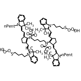 CCCCCN1/C(=C/C=C2\CCC(/C=C/C3=[N+](CCCCSOOO)c4ccccc4C3(C)C)=C2N(CCCCN(C2=C(/C=C/C3=[N+](CCCCSOOO)c4ccccc4C3(C)C)CC/C2=C\C=C2\N(CCCCC)c3ccccc3C2(C)C)S(=O)(=O)C(F)(F)F)S(=O)(=O)C(F)(F)F)C(C)(C)c2ccccc21